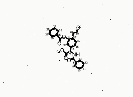 COC(=O)C(NC(=O)c1ccccc1)c1ccc(CC=O)c(OC(=O)c2ccccc2)c1